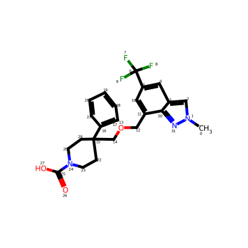 Cn1cc2cc(C(F)(F)F)cc(COCC3(c4ccccc4)CCN(C(=O)O)CC3)c2n1